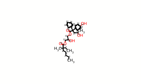 CCCCCC(C)(CC)C(=O)OCC(O)COC(=O)C(CC(C)O)(c1ccccc1)c1ccc(O)cc1